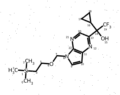 C[Si](C)(C)CCOCn1ccc2nc(C(O)(C3CC3)C(F)(F)F)cnc21